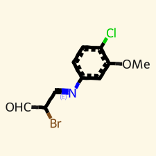 COc1cc(/N=C/C(Br)C=O)ccc1Cl